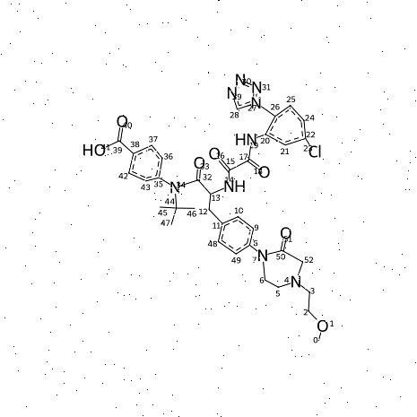 COCCN1CCN(c2ccc(CC(NC(=O)C(=O)Nc3cc(Cl)ccc3-n3cnnn3)C(=O)N(c3ccc(C(=O)O)cc3)C(C)(C)C)cc2)C(=O)C1